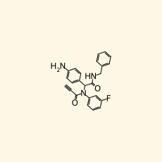 C#CC(=O)N(c1cccc(F)c1)C(C(=O)NCc1ccccc1)c1ccc(N)cc1